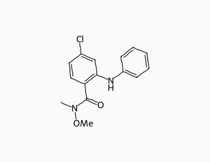 CON(C)C(=O)c1ccc(Cl)cc1Nc1ccccc1